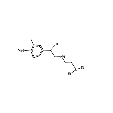 CCN(CC)CCNCC(O)c1ccc(SC)c(Cl)c1